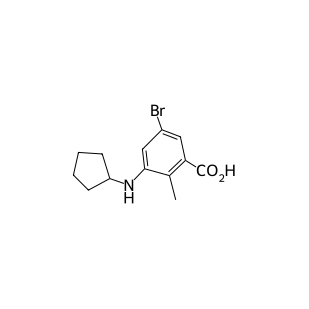 Cc1c(NC2CCCC2)cc(Br)cc1C(=O)O